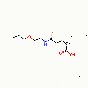 CCCOCCNC(=O)CC[C@H](C)C(=O)O